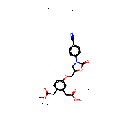 COC(=O)Cc1ccc(OCC2CN(c3ccc(C#N)cc3)C(=O)O2)cc1CC(=O)OC